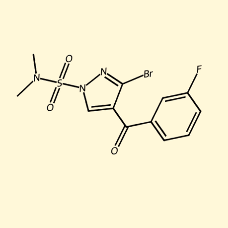 CN(C)S(=O)(=O)n1cc(C(=O)c2cccc(F)c2)c(Br)n1